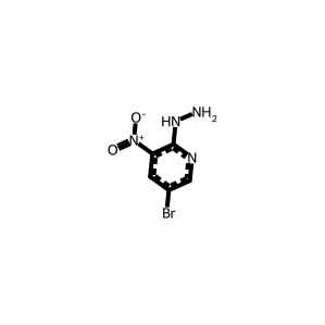 NNc1ncc(Br)cc1[N+](=O)[O-]